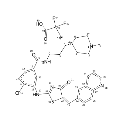 CN1CCN(CCCNC(=O)c2ccc(Cl)c(NC3=NC(=O)C(=Cc4ccc5ncccc5c4)S3)c2)CC1.O=C(O)C(F)(F)F